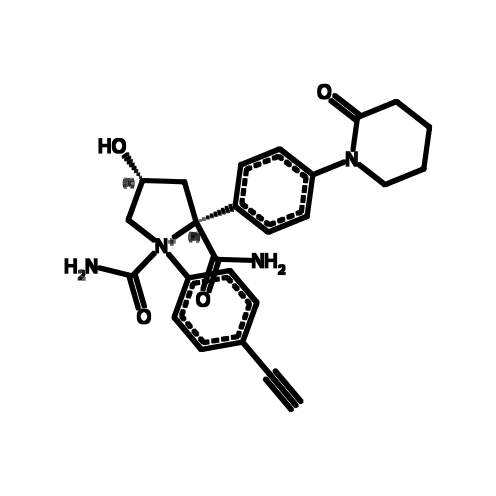 C#Cc1ccc([N+]2(C(N)=O)C[C@H](O)C[C@]2(C(N)=O)c2ccc(N3CCCCC3=O)cc2)cc1